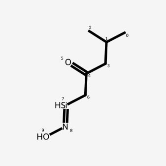 CC(C)CC(=O)C[SiH]=NO